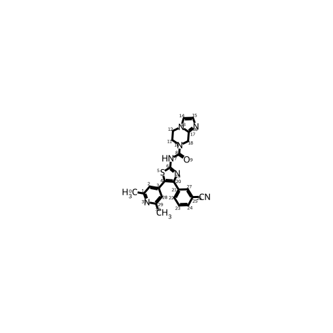 Cc1cc(-c2sc(NC(=O)N3CCn4ccnc4C3)nc2-c2cccc(C#N)c2)cc(C)n1